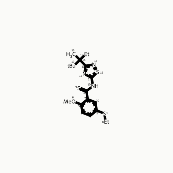 CCSc1ccc(OC)c(C(=S)Nc2nc(C(C)(CC)C(C)(C)C)ns2)c1